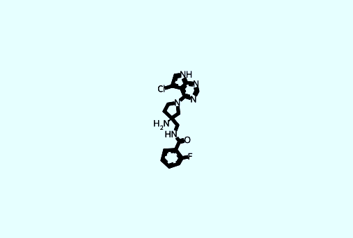 N[C@]1(CNC(=O)c2ccccc2F)CCN(c2ncnc3[nH]cc(Cl)c23)C1